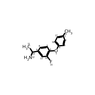 Cc1ccc(Oc2ccc(C(C)N)cc2F)cc1